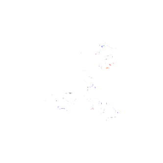 CCC1CN(Cc2nc(C(c3ccc4c(nnn4CC)c3C)C(C)(C)C(=O)Nc3cccnc3)sc2C)S(O)(O)c2cccnc2O1